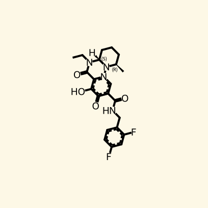 CCN1C(=O)c2c(O)c(=O)c(C(=O)NCc3ccc(F)cc3F)cn2N2[C@H](C)CCC[C@@H]12